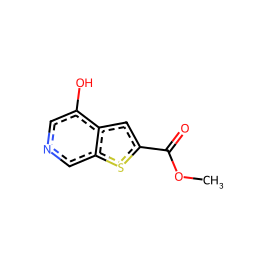 COC(=O)c1cc2c(O)cncc2s1